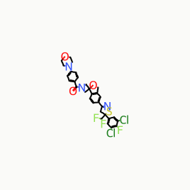 O=C(c1ccc(N2CCOCC2)cc1)N1CC2(C1)OCc1cc(C3=NSC(c4cc(Cl)c(F)c(Cl)c4)(C(F)F)C3)ccc12